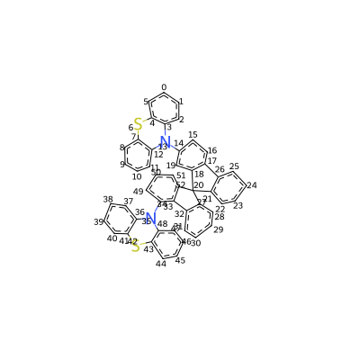 c1ccc2c(c1)Sc1ccccc1N2c1ccc2c(c1)C1(c3ccccc3-2)c2ccccc2-c2c(N3c4ccccc4Sc4ccccc43)cccc21